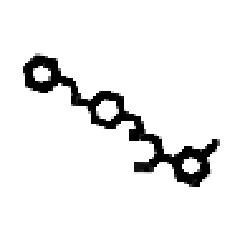 OC(CNCC1CCC(OCc2ccccc2)CC1)c1cncc(F)c1